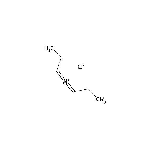 CCC=[N+]=CCC.[Cl-]